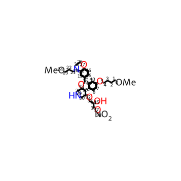 COCCCCOc1ccc([C@@H]2[C@@H](OCc3ccc4c(c3)N(CCCOC)CCO4)CNC[C@H]2OCC(O)CO[N+](=O)[O-])cc1